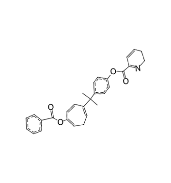 CC(C)(C1=CCC=C(OC(=O)c2ccccc2)C=C1)c1ccc(OC(=O)C2=NCCC=C2)cc1